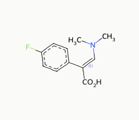 CN(C)/C=C(/C(=O)O)c1ccc(F)cc1